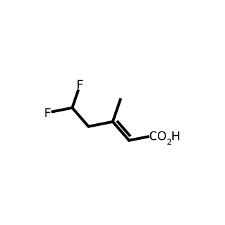 C/C(=C\C(=O)O)CC(F)F